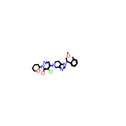 COCC(c1ccccc1C)n1cnc2c1CCN(c1cnn(C3CCCCO3)c(=O)c1Cl)C2